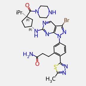 Cc1nnc(-c2ccc(-n3nc(Br)c4cnc(N[C@@H]5CC[C@](C(=O)N6CCNCC6)(C(C)C)C5)nc43)cc2CCC(N)=O)s1